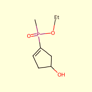 CCOP(C)(=O)C1=CCC(O)C1